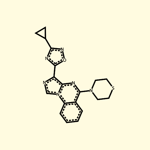 c1ccc2c(c1)c(N1CCSCC1)nc1c(-c3nc(C4CC4)no3)ncn12